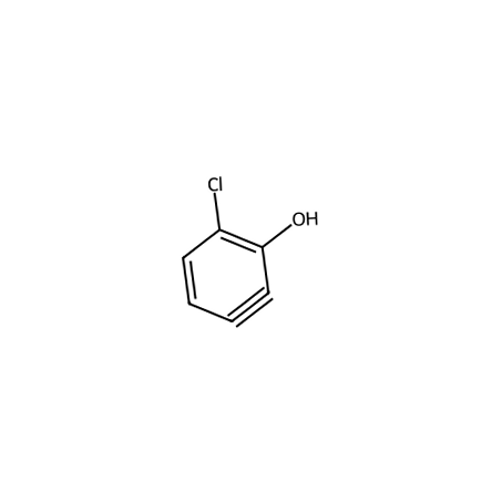 Oc1c#cccc1Cl